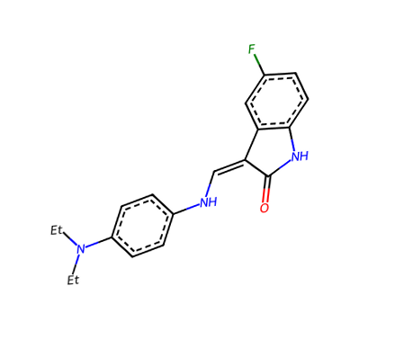 CCN(CC)c1ccc(NC=C2C(=O)Nc3ccc(F)cc32)cc1